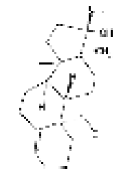 C[C@]1(O)CC[C@H]2[C@@H]3CCC4=CCCC[C@]4(CO)[C@H]3CC[C@@]21C